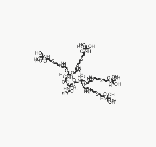 CCCC(=O)NC(C)(COC(=O)CNC(C)(COCc1cn(CCCSCCC(=O)NC(CO)(CO)CO)nn1)COCc1cn(CCCSCCC(=O)NC(CO)(CO)CO)nn1)COC(=O)CNC(C)(COCc1cn(CCCSCCC(=O)NC(CO)(CO)CO)nn1)COCc1cn(CCCSCCC(=O)NC(CO)(CO)CO)nn1